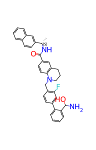 C[C@H](NC(=O)c1ccc2c(c1)CCCN2Cc1ccc(-c2ccccc2C(N)O)cc1F)c1ccc2ccccc2c1